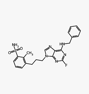 Cc1c(CCCn2cnc3c(NCc4ccccc4)nc(F)nc32)cccc1S(N)(=O)=O